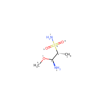 CO[C@H](N)[C@@H](C)S(N)(=O)=O